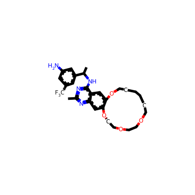 Cc1nc(NC(C)c2cc(N)cc(C(F)(F)F)c2)c2cc3c(cc2n1)OCCOCCOCCCCCCO3